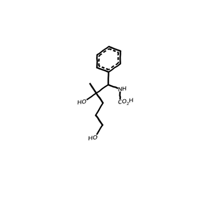 CC(O)(CCCO)C(NC(=O)O)c1ccccc1